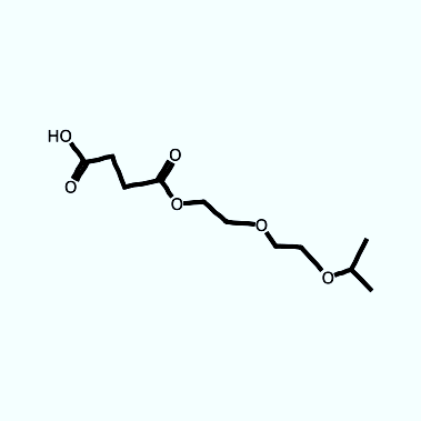 CC(C)OCCOCCOC(=O)CCC(=O)O